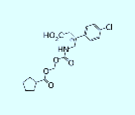 O=C(O)C[C@@H](CNC(=O)OCOC(=O)C1CCCC1)c1ccc(Cl)cc1